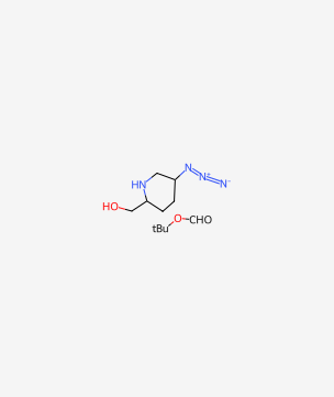 CC(C)(C)OC=O.[N-]=[N+]=NC1CCC(CO)NC1